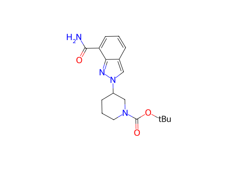 CC(C)(C)OC(=O)N1CCCC(n2cc3cccc(C(N)=O)c3n2)C1